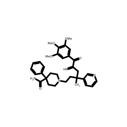 COc1cc(C(=O)C(=N)CC(C)(CCN2CCC(C(N)=O)(c3ccccc3)CC2)c2cccnc2)cc(OC)c1OC